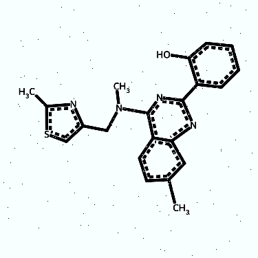 Cc1ccc2c(N(C)Cc3csc(C)n3)nc(-c3ccccc3O)nc2c1